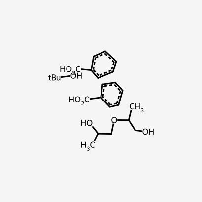 CC(C)(C)O.CC(O)COC(C)CO.O=C(O)c1ccccc1.O=C(O)c1ccccc1